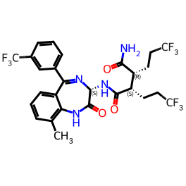 Cc1cccc2c1NC(=O)[C@@H](NC(=O)[C@@H](CCC(F)(F)F)[C@@H](CCC(F)(F)F)C(N)=O)N=C2c1cccc(C(F)(F)F)c1